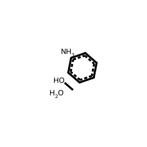 CO.N.O.c1ccccc1